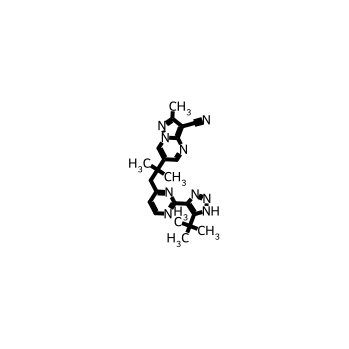 Cc1nn2cc(C(C)(C)Cc3ccnc(-c4nn[nH]c4C(C)(C)C)n3)cnc2c1C#N